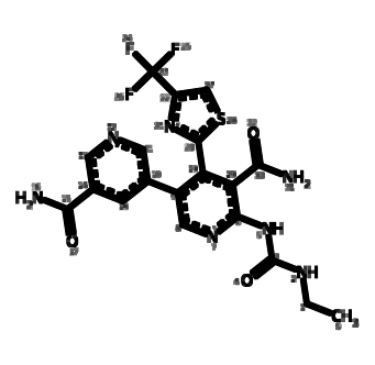 CCNC(=O)Nc1ncc(-c2cncc(C(N)=O)c2)c(-c2nc(C(F)(F)F)cs2)c1C(N)=O